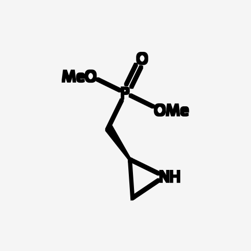 COP(=O)(C[C@@H]1CN1)OC